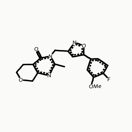 COc1cc(-c2cc(Cn3c(C)nc4c(c3=O)CCOC4)no2)ccc1F